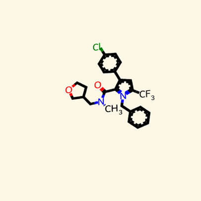 CN(CC1CCOC1)C(=O)c1c(-c2ccc(Cl)cc2)cc(C(F)(F)F)n1Cc1ccccc1